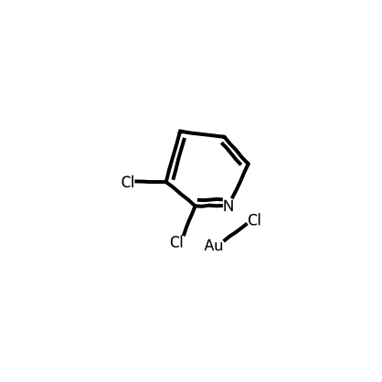 Clc1cccnc1Cl.[Cl][Au]